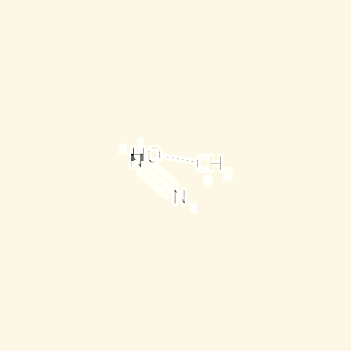 CO.N#N